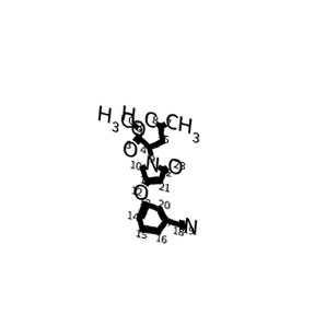 COC(=O)C(CC(C)C)N1CC(Oc2cccc(C#N)c2)=CC1=O